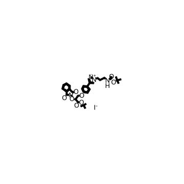 C[n+]1cc(-c2ccc(OCC(ON3C(=O)c4ccccc4C3=O)C(=O)OC(C)(C)C)cc2)cn1CCCNC(=O)OC(C)(C)C.[I-]